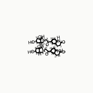 O=C1CCc2cc(C(=O)CN3C[C@@H]4C[C@H](O)C[C@]4(O)C3)ccc2N1.O=C1CCc2cc(C(=O)CN3C[C@H]4C[C@@H](O)C[C@@]4(O)C3)ccc2N1